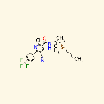 CCCCCSCC(C)(C)CNC(=O)c1cc(C#N)c(-c2ccc(C(F)(F)F)cc2)nc1C